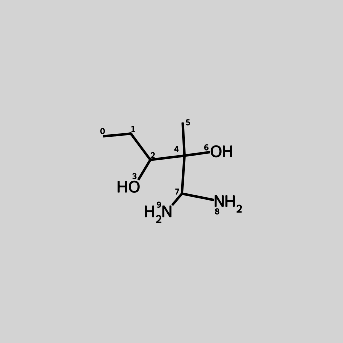 CCC(O)C(C)(O)C(N)N